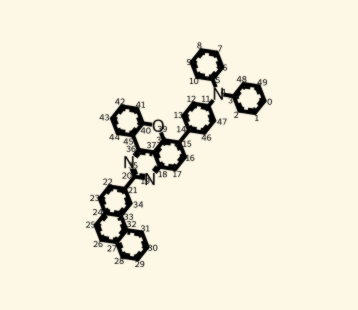 c1ccc(N(c2ccccc2)c2ccc(-c3ccc4nc(-c5ccc6ccc7ccccc7c6c5)nc5c4c3Oc3ccccc3-5)cc2)cc1